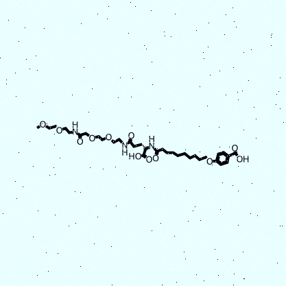 COCCOCCNC(=O)COCCOCCNC(=O)CC[C@H](NC(=O)CCCCCCCCCOc1ccc(C(=O)O)cc1)C(=O)O